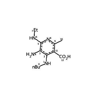 CCCCNc1c(N)c(NCC)nc(C)c1C(=O)O